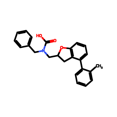 Cc1ccccc1-c1cccc2c1CC(CN(Cc1ccccc1)C(=O)O)O2